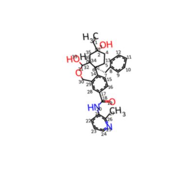 CC[C@@]1(O)CC[C@@]2(Cc3ccccc3)c3ccc(C(=O)Nc4cccnc4C)cc3COC(O)[C@H]2C1